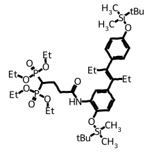 CCOP(=O)(OCC)C(CCC(=O)Nc1cc(C(CC)=C(CC)c2ccc(O[Si](C)(C)C(C)(C)C)cc2)ccc1O[Si](C)(C)C(C)(C)C)P(=O)(OCC)OCC